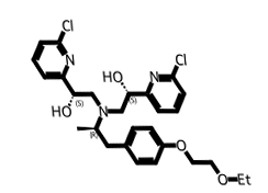 CCOCCOc1ccc(C[C@@H](C)N(C[C@H](O)c2cccc(Cl)n2)C[C@H](O)c2cccc(Cl)n2)cc1